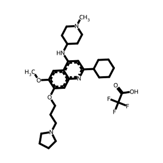 COc1cc2c(NC3CCN(C)CC3)cc(C3CCCCC3)nc2cc1OCCCN1CCCC1.O=C(O)C(F)(F)F